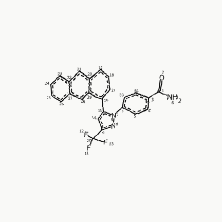 NC(=O)c1ccc(-n2nc(C(F)(F)F)cc2-c2cccc3cc4ccccc4cc23)cc1